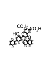 O=C(O)c1cc(C(=O)O)c(C(=O)N(Cc2ccc(-c3ccccc3)cc2)[C@H]2CCCc3ccccc32)cc1C(=O)O